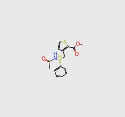 COC(=O)c1sccc1C[SH](NC(C)=O)c1ccccc1